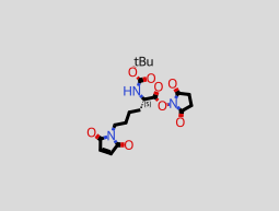 CC(C)(C)OC(=O)N[C@@H](CCCCN1C(=O)C=CC1=O)C(=O)ON1C(=O)CCC1=O